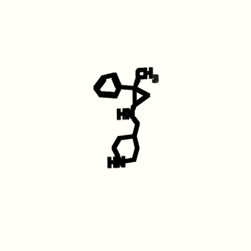 C[C@@]1(c2ccccc2)C[C@H]1NCC1CCNCC1